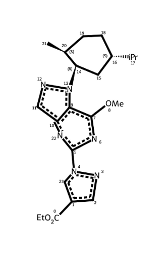 CCOC(=O)c1cnn(-c2nc(OC)c3c(cnn3[C@@H]3C[C@@H](C(C)C)CC[C@@H]3C)n2)c1